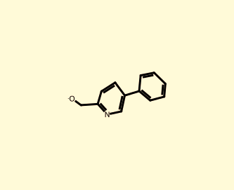 [O]Cc1ccc(-c2ccccc2)cn1